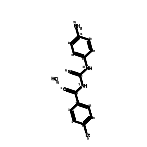 CCc1ccc(C(=O)NC(=S)Nc2ccc(N)cc2)cc1.Cl